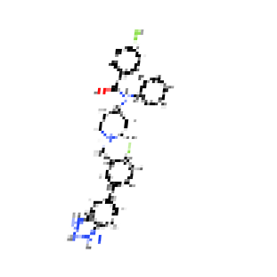 O=C(c1ccc(F)cc1)N(c1ccccc1)C1CCN(Cc2cc(-c3ccc4[nH]nnc4c3)ccc2F)CC1